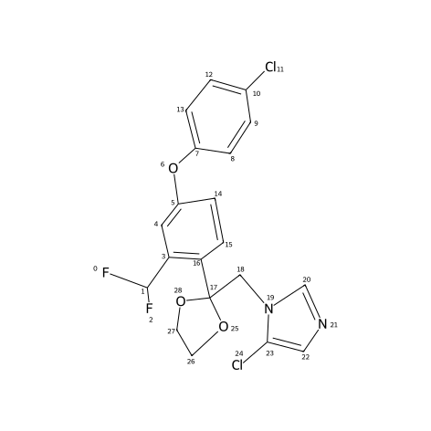 FC(F)c1cc(Oc2ccc(Cl)cc2)ccc1C1(Cn2cncc2Cl)OCCO1